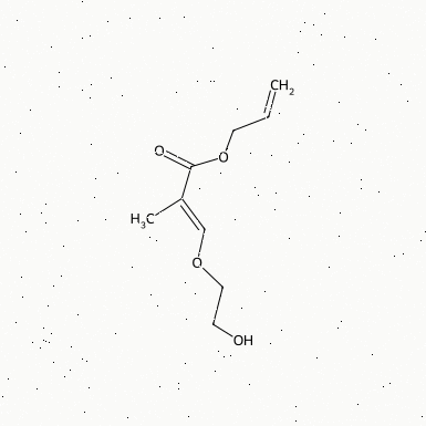 C=CCOC(=O)C(C)=COCCO